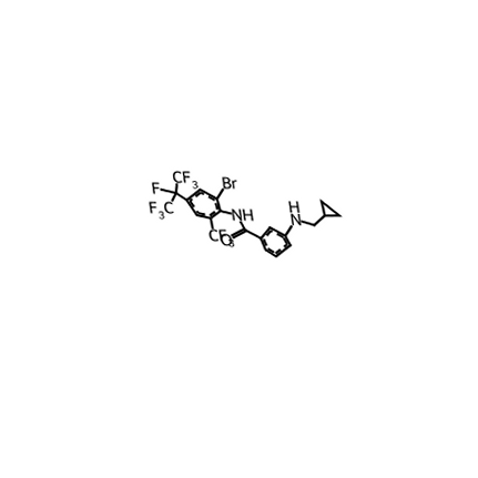 O=C(Nc1c(Br)cc(C(F)(C(F)(F)F)C(F)(F)F)cc1C(F)(F)F)c1cccc(NCC2CC2)c1